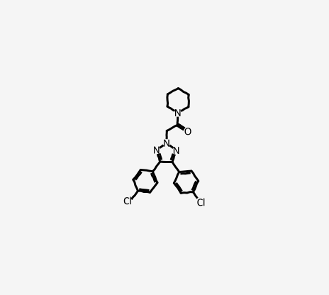 O=C(Cn1nc(-c2ccc(Cl)cc2)c(-c2ccc(Cl)cc2)n1)N1CCCCC1